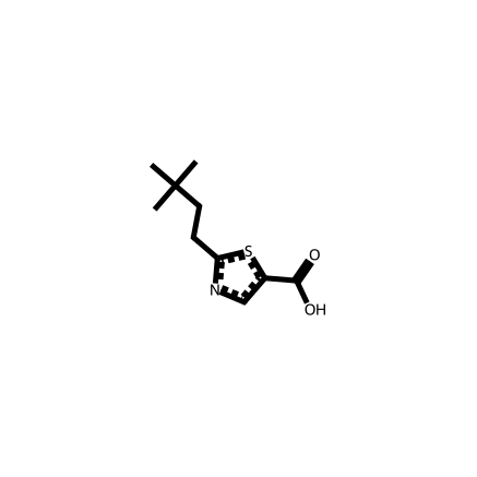 CC(C)(C)CCc1ncc(C(=O)O)s1